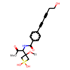 CCOC1(C(NC(=O)c2ccc(C#CC#CCCO)cc2)C(=O)OC)CS(O)(O)C1